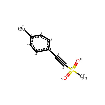 CC(C)(C)c1ccc(C#CS(=O)(=O)C(F)(F)F)cc1